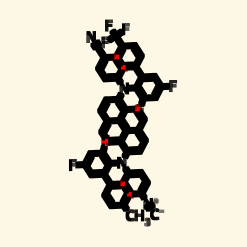 [C-]#[N+]c1ccc(N(c2c(F)cc(F)cc2-c2ccc(C)cc2)c2ccc3ccc4c(N(c5ccc(C#N)cc5)c5c(F)cc(F)cc5-c5ccc(C(F)(F)F)cc5)ccc5ccc2c3c54)cc1